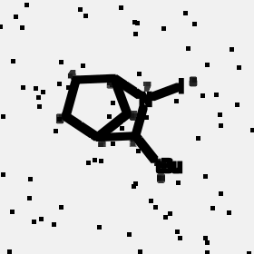 CC(C)(C)C1C2CCC(C2)N1I